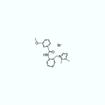 COc1cccc(C(=O)Nc2ccccc2C[n+]2csc(C)c2C)c1.[Br-]